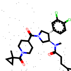 CN(C(=O)CCC1CC1)[C@H]1CN(C(=O)C2CCN(C(=O)C3(C)CC3)CC2)C[C@@H]1c1ccc(Cl)c(Cl)c1